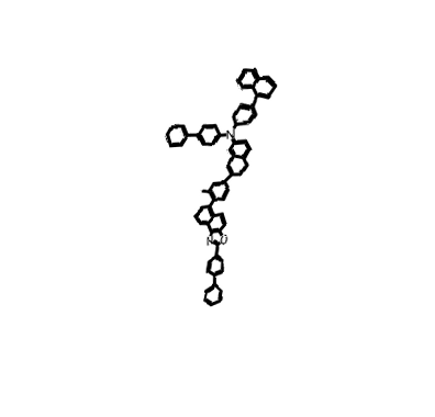 Cc1cc(-c2ccc3ccc(N(c4ccc(C5=CCCC=C5)cc4)C4C=CC(c5cccc6ccccc56)=CC4)cc3c2)ccc1-c1cccc2c1ccc1oc(-c3ccc(-c4ccccc4)cc3)nc12